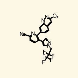 COc1cc2ccc(-c3nc(C#N)ccc3-c3cnn(CC(F)(F)C(F)(F)F)c3)cc2nn1